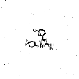 CC(C)Nc1nc(NC2CCC(F)(F)CC2)nc(-c2cccc(Cl)n2)n1